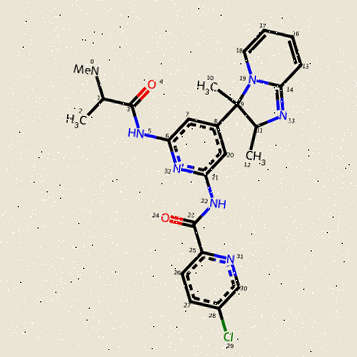 CNC(C)C(=O)Nc1cc(C2(C)C(C)N=C3C=CC=CN32)cc(NC(=O)c2ccc(Cl)cn2)n1